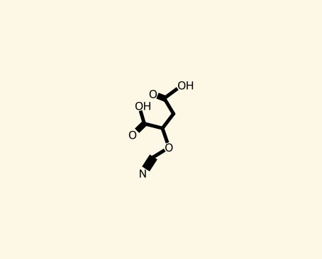 N#COC(CC(=O)O)C(=O)O